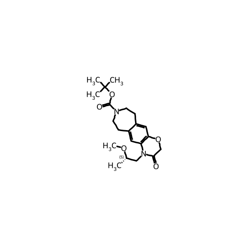 CO[C@@H](C)CN1C(=O)COc2cc3c(cc21)CCN(C(=O)OC(C)(C)C)CC3